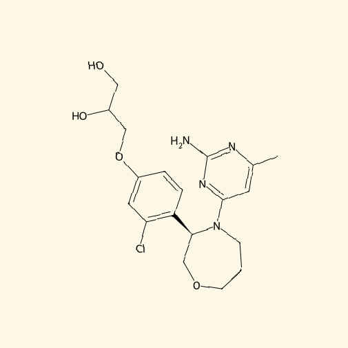 Cc1cc(N2CCCOC[C@H]2c2ccc(OCC(O)CO)cc2Cl)nc(N)n1